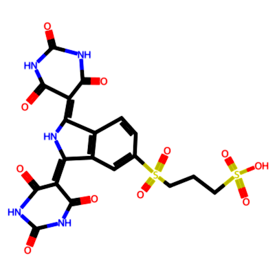 O=C1NC(=O)C(=c2[nH]c(=C3C(=O)NC(=O)NC3=O)c3cc(S(=O)(=O)CCCS(=O)(=O)O)ccc23)C(=O)N1